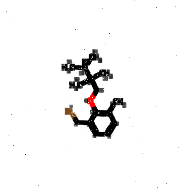 Cc1cccc(CBr)c1OCC(C)(C)[SiH](C)C